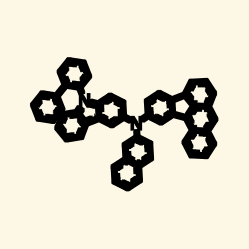 c1ccc(-c2ccccc2-n2c3ccccc3c3cc(N(c4ccc5c(c4)-c4c6ccccc6cc6cccc-5c46)c4ccc5ccccc5c4)ccc32)cc1